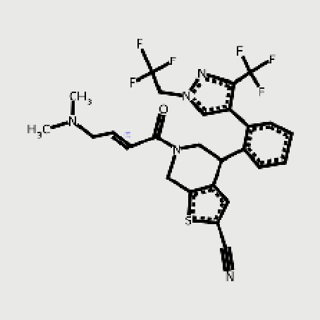 CN(C)C/C=C/C(=O)N1Cc2sc(C#N)cc2C(c2ccccc2-c2cn(CC(F)(F)F)nc2C(F)(F)F)C1